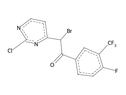 O=C(c1ccc(F)c(C(F)(F)F)c1)C(Br)c1ccnc(Cl)n1